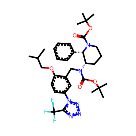 CC(C)COc1ccc(-n2nnnc2C(F)(F)F)cc1CN(C(=O)OC(C)(C)C)[C@H]1CCCN(C(=O)OC(C)(C)C)[C@H]1c1ccccc1